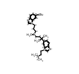 CN(C)CCn1cnc2ccc(C(C)(C)CCN(C)CCCn3cnc4ccc(C(C)(C)C)cc43)cc21